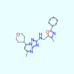 Cc1cc(C2CCOCC2)n2nc(NCc3oc(-c4ccccc4)nc3C)nc2n1